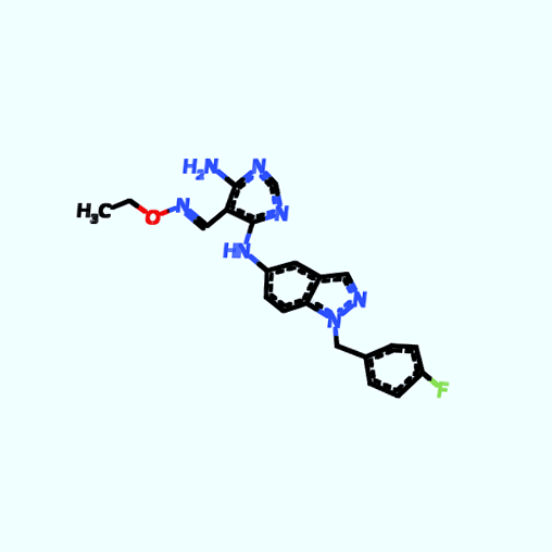 CCON=Cc1c(N)ncnc1Nc1ccc2c(cnn2Cc2ccc(F)cc2)c1